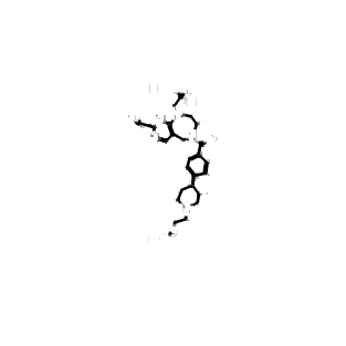 COCCN1CCC(c2ccc(C(=O)N3CCN(CC(C)(C)C)c4nc(C#N)ncc4C3)cc2)CC1